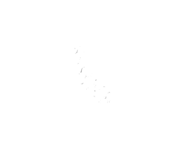 C=CCC/C=C/C1CCC(C2CCC(CC)CC2)CC1